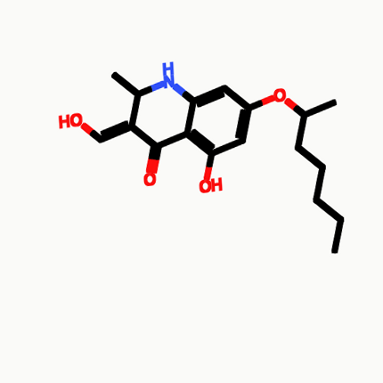 CCCCCC(C)Oc1cc(O)c2c(c1)NC(C)C(=CO)C2=O